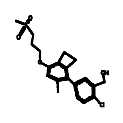 Cc1cc(OCCCS(C)(=O)=O)c2c(c1-c1ccc(Cl)c(CO)c1)CC2